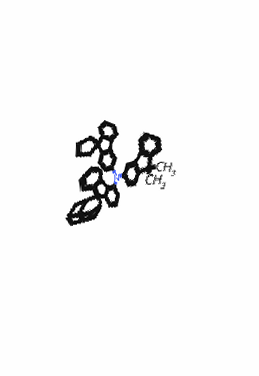 CC1(C)c2ccccc2-c2cc(N(c3ccc4c(c3)-c3ccccc3C43CCCC3)c3cccc4c3-c3ccccc3C43C4CC5CC(C4)CC3C5)ccc21